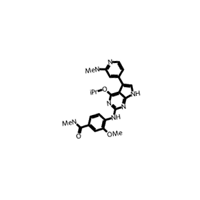 CNC(=O)c1ccc(Nc2nc(OC(C)C)c3c(-c4ccnc(NC)c4)c[nH]c3n2)c(OC)c1